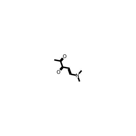 CC(=O)C(=O)/C=C/N(C)C